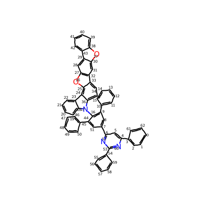 c1ccc(-c2cc(-c3cc(-c4ccccc4)c(-n4c5ccccc5c5c6oc7cc8c(cc7c6ccc54)oc4ccccc48)c(-c4ccccc4)c3)nc(-c3ccccc3)n2)cc1